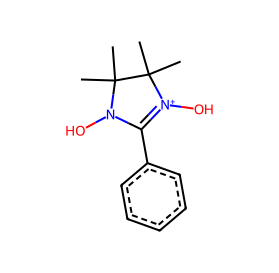 CC1(C)N(O)C(c2ccccc2)=[N+](O)C1(C)C